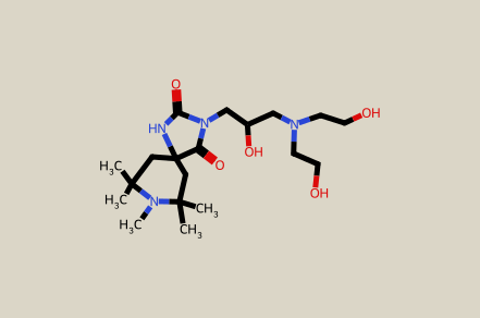 CN1C(C)(C)CC2(CC1(C)C)NC(=O)N(CC(O)CN(CCO)CCO)C2=O